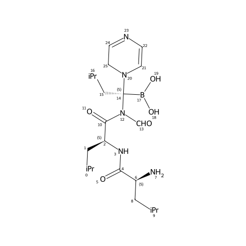 CC(C)C[C@H](NC(=O)[C@@H](N)CC(C)C)C(=O)N(C=O)[C@](CC(C)C)(B(O)O)N1C=CN=CC1